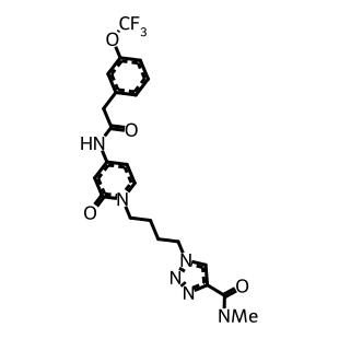 CNC(=O)c1cn(CCCCn2ccc(NC(=O)Cc3cccc(OC(F)(F)F)c3)cc2=O)nn1